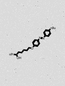 CCCCc1ccc(/N=N/c2ccc(OCCCCCC(O)CCC)cc2)cc1